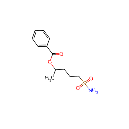 CC(CCCS(N)(=O)=O)OC(=O)c1ccccc1